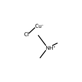 C[NH+](C)C.[Cl][Cu-]